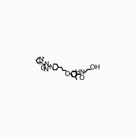 Cc1cc(OCCCC2CCN(c3noc([C@@H]4CCCN4C)n3)CC2)ccc1C(=O)NCCCO